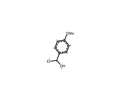 [CH2]CC(O)c1ccc(OC)cc1